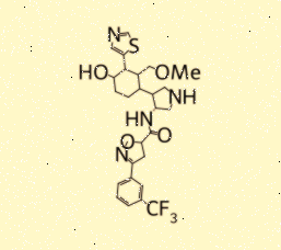 COCC1C(C2CNC[C@@H]2NC(=O)C2CC(c3cccc(C(F)(F)F)c3)=NO2)CCC(O)C1c1cncs1